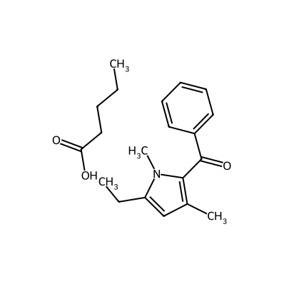 CCCCC(=O)O.CCc1cc(C)c(C(=O)c2ccccc2)n1C